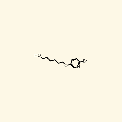 OCCCCCCOc1ccc(Br)nc1